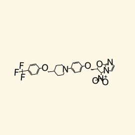 O=[N+]([O-])[C@H]1[C@@H](COc2ccc(N3CCC(COc4ccc(C(F)(F)F)cc4)CC3)cc2)Oc2nccn21